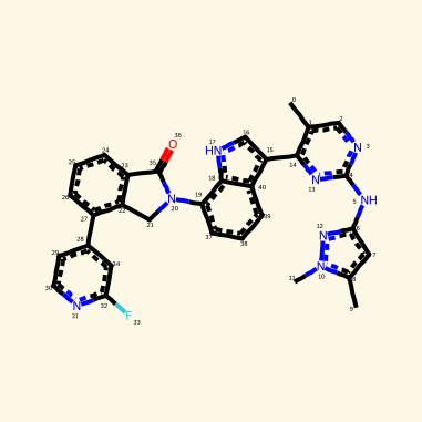 Cc1cnc(Nc2cc(C)n(C)n2)nc1-c1c[nH]c2c(N3Cc4c(cccc4-c4ccnc(F)c4)C3=O)cccc12